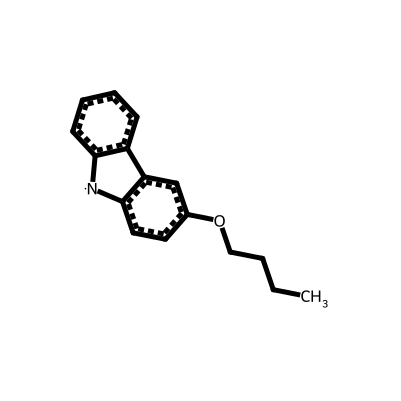 CCCCOc1ccc2c(c1)-c1ccccc1[N]2